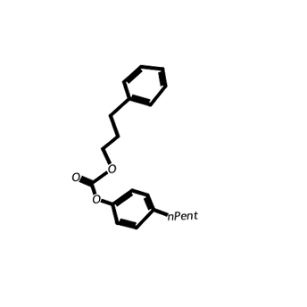 CCCCCc1ccc(OC(=O)OCCCc2ccccc2)cc1